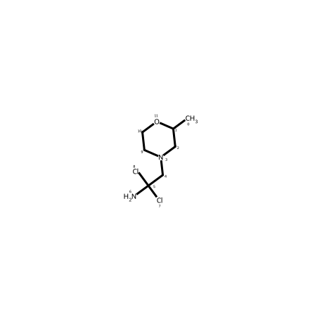 CC1CN(CC(N)(Cl)Cl)CCO1